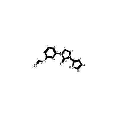 O=COc1cccc(N2CCN(c3cccs3)C2=O)c1